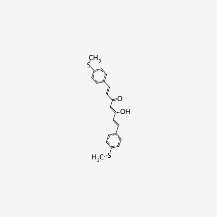 CSc1ccc(C=CC(=O)C=C(O)C=Cc2ccc(SC)cc2)cc1